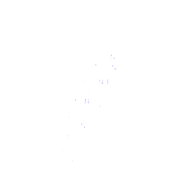 O=C(Nc1cc(C2CCCC2)n[nH]1)N1CCN(c2ccccc2)CC1